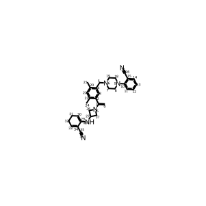 C=C(c1cc(CN2CCN(c3ccccc3C#N)CC2)c(C)cc1C)N1CC(NC2=CCCC=C2C#N)C1